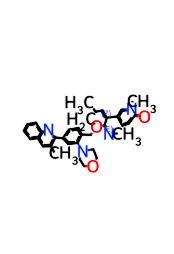 C=C(C)/C=C(\C(=N/C)OCc1ccc(-c2nc3ccccc3cc2C)cc1N1CCOCC1)c1ccc(=O)n(C)c1